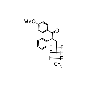 COc1ccc(C(=O)C(CC(F)(F)C(F)(F)C(F)(F)C(F)(F)F)c2ccccc2)cc1